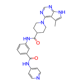 Cc1c[nH]c2ncnc(N3CCC(C(=O)Nc4cccc(C(=O)Nc5ccncc5)c4)CC3)c12